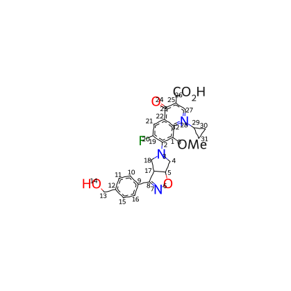 COc1c(N2CC3ON=C(c4ccc(CO)cc4)C3C2)c(F)cc2c(=O)c(C(=O)O)cn(C3CC3)c12